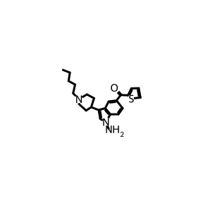 CCCCCN1CCC(c2cn(N)c3ccc(C(=O)c4cccs4)cc23)CC1